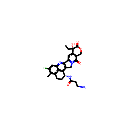 CC[C@@]1(O)C(=O)OCc2c1cc1n(c2=O)Cc2c-1nc1cc(F)c(C)c3c1c2[C@@H](NC(=O)CCN)CC3